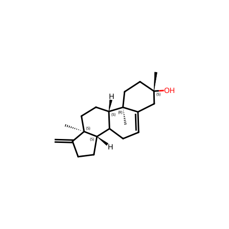 C=C1CC[C@H]2C3CC=C4C[C@@](C)(O)CC[C@]4(C)[C@H]3CC[C@]12C